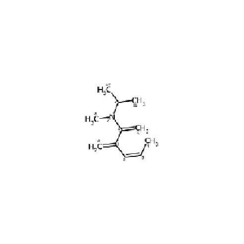 C=C(/C=C\C)C(=C)N(C)C(C)C